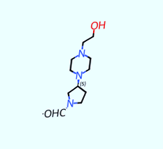 O=[C]N1CC[C@H](N2CCN(CCO)CC2)C1